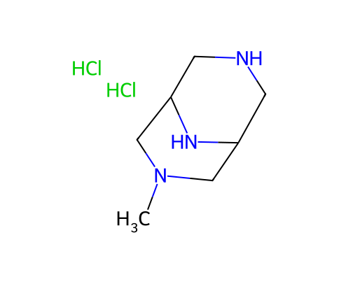 CN1CC2CNCC(C1)N2.Cl.Cl